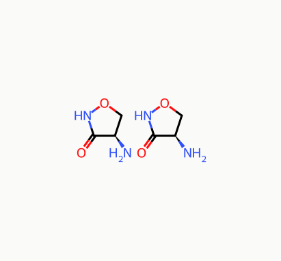 N[C@@H]1CONC1=O.N[C@@H]1CONC1=O